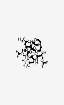 CC(C)C[C@H](NC(=O)[C@H](COC(F)F)NC(=O)CN1CCOCC1)C(=O)N[C@@H](COC(F)F)C(=O)N[C@@H](CC(C)C)C(=O)[C@]1(C)CO1